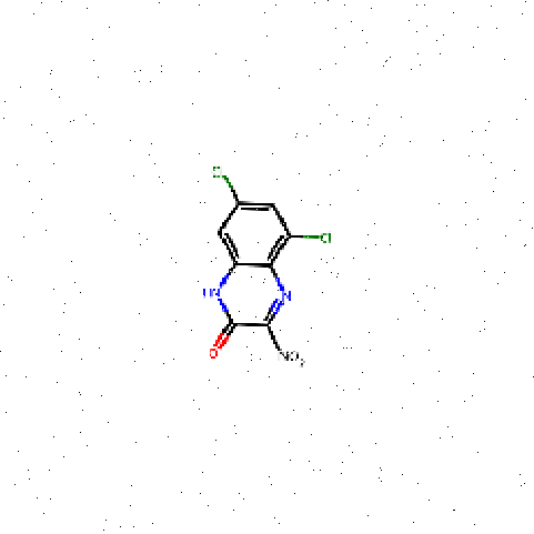 O=c1[nH]c2cc(Cl)cc(Cl)c2nc1[N+](=O)[O-]